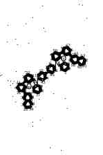 c1ccc(N(c2ccc(-c3ccc(N(c4ccccc4)c4cccc5c4oc4c(-c6ccc7ccccc7c6)cccc45)cc3)cc2)c2cccc3c2oc2c(-c4ccc5ccccc5c4)cccc23)cc1